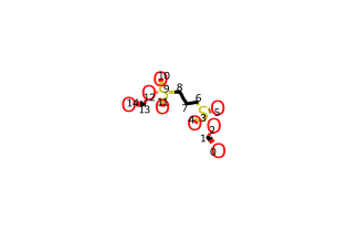 O=COS(=O)(=O)CCCS(=O)(=O)OC=O